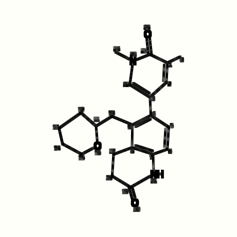 Cc1cc(-c2ccc3c(c2CC2CCCCO2)CCC(=O)N3)cn(C)c1=O